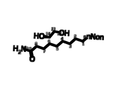 CCCCCCCCCCCCCCCCCC(N)=O.OCCO